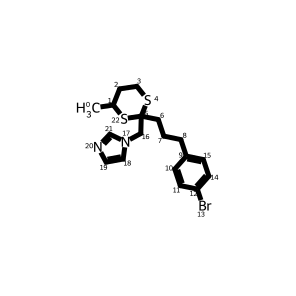 CC1CCSC(CCCc2ccc(Br)cc2)(Cn2ccnc2)S1